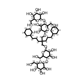 OCC1O[C@@H](OCC(CCCC2CCCCC2)(CCCC2CCCCC2)CO[C@@H]2OC(CO)[C@@H](O[C@H]3OC(CO)[C@@H](O)[C@H](O)C3O)C(O)[C@@H]2O)[C@@H](O)C(O)[C@@H]1O[C@H]1OC(CO)[C@@H](O)[C@H](O)C1O